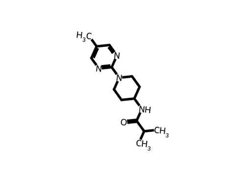 Cc1cnc(N2CCC(NC(=O)C(C)C)CC2)nc1